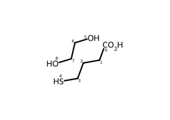 O=C(O)CCCS.OCCO